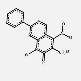 CCOC(=O)c1c(N(CC)CC)c2cnc(-c3ccccc3)nc2n(CC)c1=O